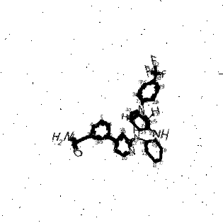 NC(=O)c1cccc(-c2ccnc(N[C@@H]3CCCC[C@H]3N[C@H]3C[C@@H]4C[C@H]3N(c3ccc(C(F)(F)F)cc3)C4)c2)c1